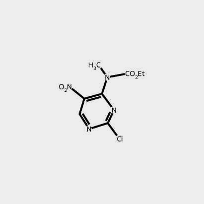 CCOC(=O)N(C)c1nc(Cl)ncc1[N+](=O)[O-]